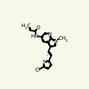 C=CC(=O)Nc1cnc2c(c1)c(/C=C/c1ccc(Cl)s1)cn2C